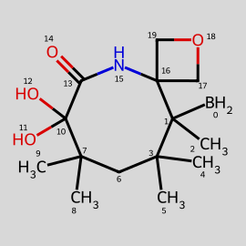 BC1(C)C(C)(C)CC(C)(C)C(O)(O)C(=O)NC12COC2